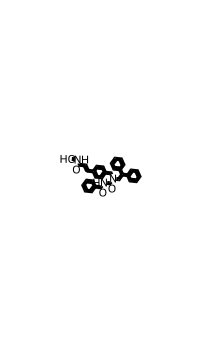 O=C(C=Cc1ccc(CN(CC(c2ccccc2)c2ccccc2)C(=O)NC(=O)c2ccccc2)cc1)NO